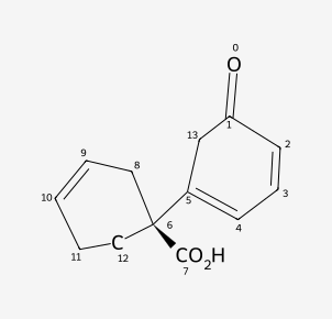 O=C1C=CC=C([C@@]2(C(=O)O)CC=CCC2)C1